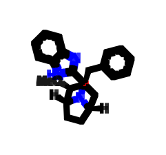 CO[C@H]1[C@@H](Cc2ccccc2)C[C@@H]2CC[C@H]1N2Cc1nc2ccccc2[nH]1